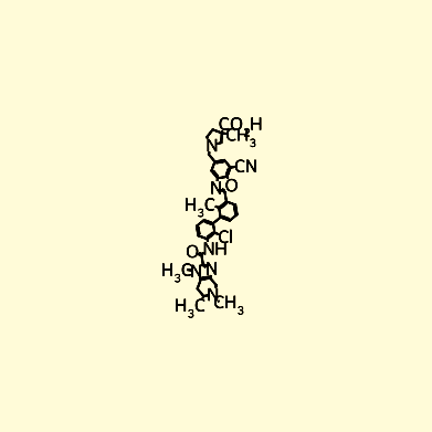 Cc1c(-c2nc3cc(CN4CC[C@@](C)(C(=O)O)C4)cc(C#N)c3o2)cccc1-c1cccc(NC(=O)c2nc3c(n2C)CC(C)N(C)C3)c1Cl